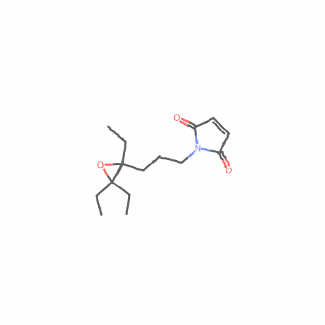 CCC1(CC)OC1(CC)CCCN1C(=O)C=CC1=O